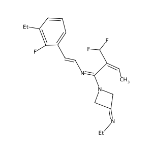 C\C=C(/C(=N\C=C\c1cccc(CC)c1F)N1CC(=NCC)C1)C(F)F